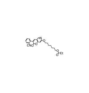 CCC(=O)OCCCCCCCOc1cc2oc(=O)c(-c3ccccc3C#N)cc2cn1